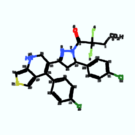 O=C(O)CC(F)(F)C(=O)N1N=C(C2=C(c3ccc(Cl)cc3)c3cscc3NC2)CC1c1ccc(Cl)cc1